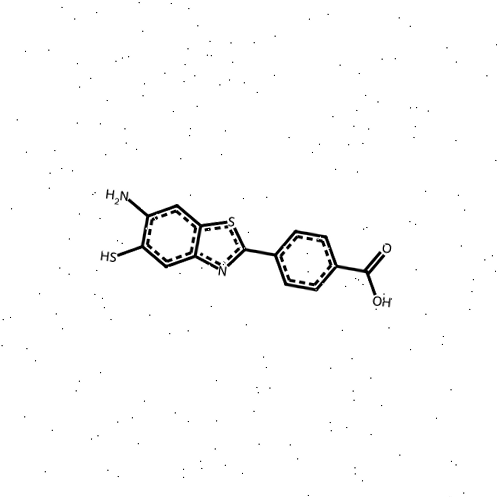 Nc1cc2sc(-c3ccc(C(=O)O)cc3)nc2cc1S